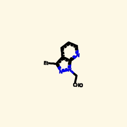 CCc1nn(CC=O)c2ncccc12